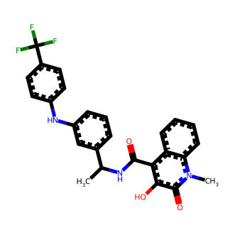 CC(NC(=O)c1c(O)c(=O)n(C)c2ccccc12)c1cccc(Nc2ccc(C(F)(F)F)cc2)c1